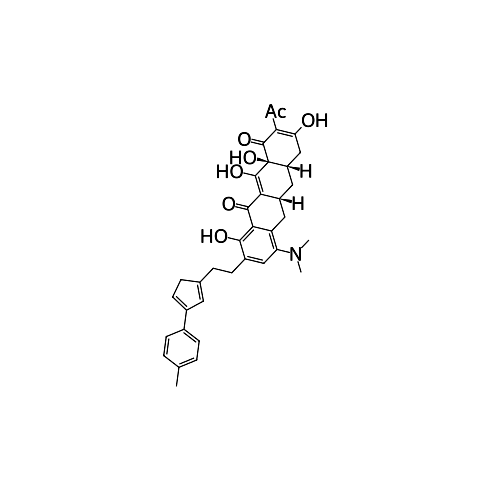 CC(=O)C1=C(O)C[C@@H]2C[C@@H]3Cc4c(N(C)C)cc(CCC5=CC(c6ccc(C)cc6)=CC5)c(O)c4C(=O)C3=C(O)[C@]2(O)C1=O